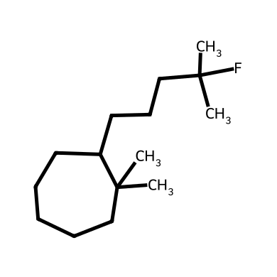 CC(C)(F)CCCC1CCCCCC1(C)C